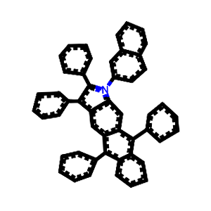 c1ccc(-c2c3ccccc3c(-c3ccccc3)c3cc4c(cc23)c(-c2ccccc2)c(-c2ccccc2)n4-c2ccc3ccccc3c2)cc1